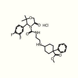 COC(=O)C1(c2ccccc2)CCC(NCCNC(=O)N2C(=O)COC(C)(C)C2c2ccc(F)c(F)c2)CC1.Cl